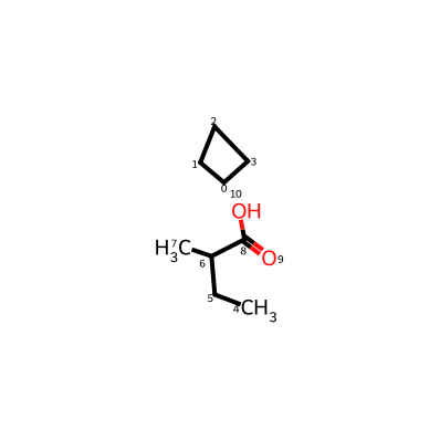 C1CCC1.CCC(C)C(=O)O